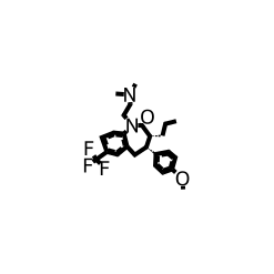 CCC[C@H]1C(=O)N(CCN(C)C)c2ccc(C(F)(F)F)cc2C[C@H]1c1ccc(OC)cc1